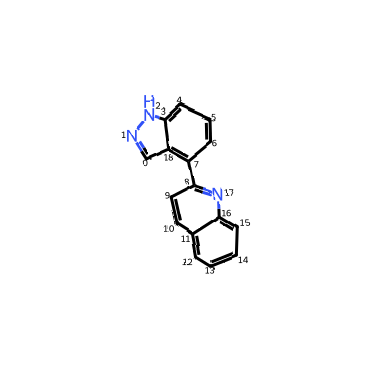 [c]1n[nH]c2cccc(-c3ccc4ccccc4n3)c12